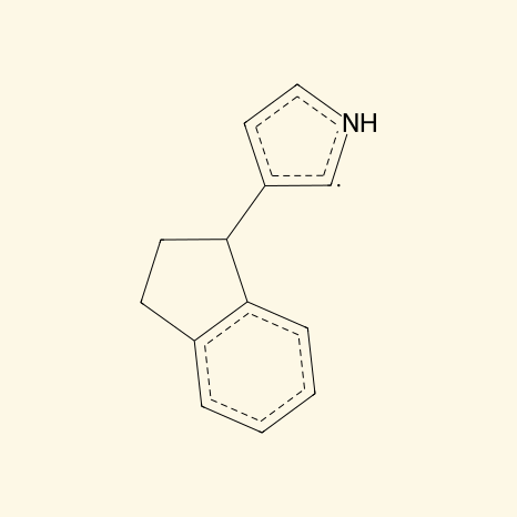 [c]1[nH]ccc1C1CCc2ccccc21